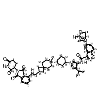 O=C1CCC(N2C(=O)c3cccc(NCC4CC5(CCN(C[C@H]6CC[C@H](n7cc(NC(=O)c8nsc9ccc(N%10C[C@H]%11CC%10CO%11)nc89)c(C(F)F)n7)CC6)CC5)C4)c3C2=O)C(=O)N1